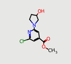 COC(=O)c1cc(Cl)nc(N2CCC(O)C2)c1